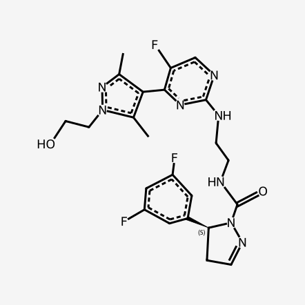 Cc1nn(CCO)c(C)c1-c1nc(NCCNC(=O)N2N=CC[C@H]2c2cc(F)cc(F)c2)ncc1F